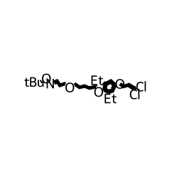 CCc1cc(OCC=C(Cl)Cl)cc(CC)c1OCCCCCOCC/C=N/OC(C)(C)C